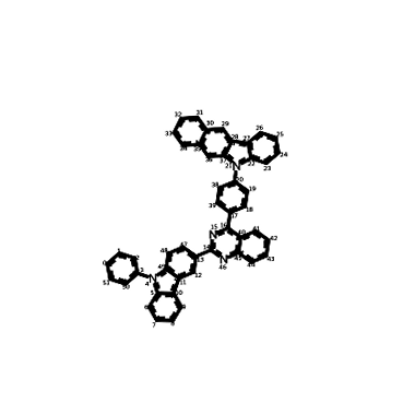 c1ccc(-n2c3ccccc3c3cc(-c4nc(-c5ccc(-n6c7ccccc7c7cc8ccccc8cc76)cc5)c5ccccc5n4)ccc32)cc1